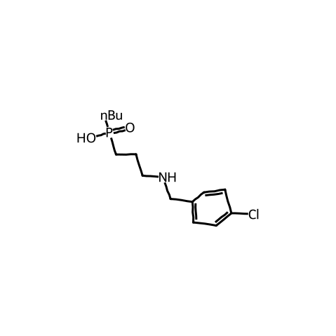 CCCCP(=O)(O)CCCNCc1ccc(Cl)cc1